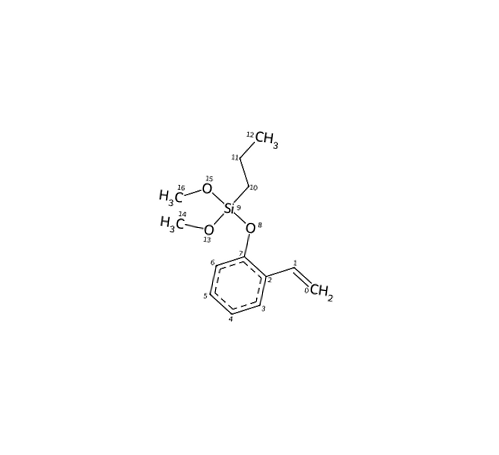 C=Cc1ccccc1O[Si](CCC)(OC)OC